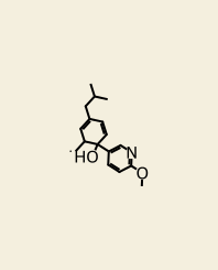 [CH2]C1C=C(CC(C)C)C=CC1(O)c1ccc(OC)nc1